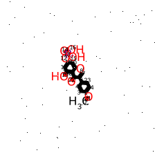 COc1ccc(-c2coc3cc(OP(=O)(O)O)cc(O)c3c2=O)cc1